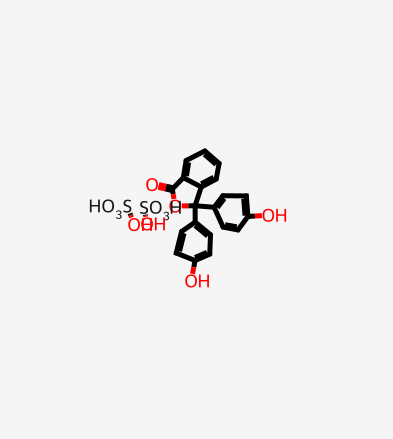 O=C1OC(c2ccc(O)cc2)(c2ccc(O)cc2)c2ccccc21.O=S(=O)(O)O.O=S(=O)(O)O